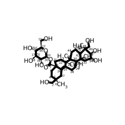 C[C@]1(CO)CC[C@]2(C(=O)O[C@@H]3O[C@H](CO)[C@@H](O)[C@H](O)[C@H]3O)CC[C@]3(C)C(=C2C1)CC[C@@H]1[C@@]2(C)C[C@@H](O)[C@H](O)[C@@](C)(CO)[C@@H]2CC[C@]13C